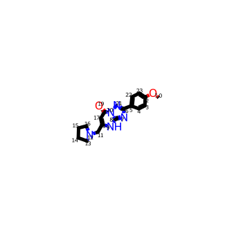 COc1ccc(-c2nc3[nH]c(CN4CCCC4)cc(=O)n3n2)cc1